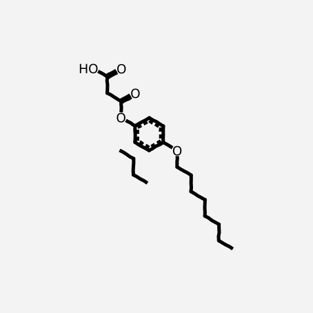 CCCC.CCCCCCCCOc1ccc(OC(=O)CC(=O)O)cc1